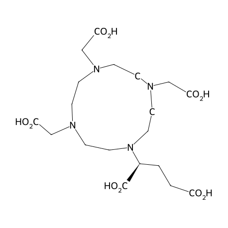 O=C(O)CC[C@@H](C(=O)O)N1CCN(CC(=O)O)CCN(CC(=O)O)CCN(CC(=O)O)CC1